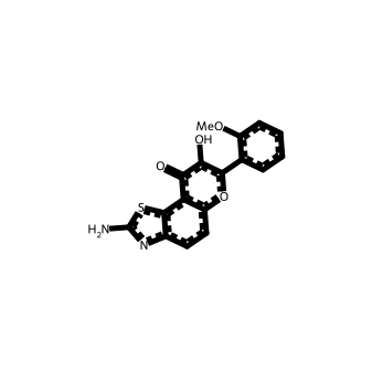 COc1ccccc1-c1oc2ccc3nc(N)sc3c2c(=O)c1O